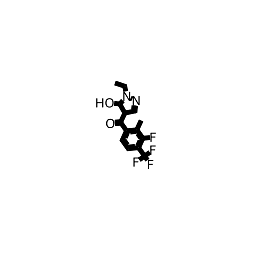 CCN1N=CC(C(=O)c2ccc(C(F)(F)F)c(F)c2C)C1O